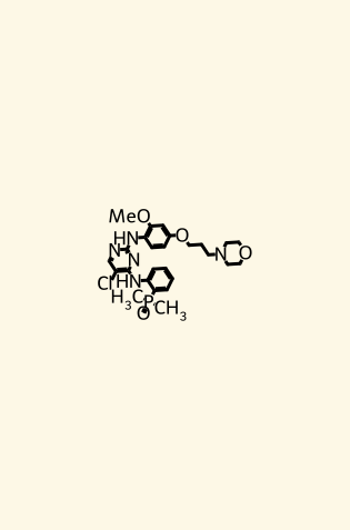 COc1cc(OCCCN2CCOCC2)ccc1Nc1ncc(Cl)c(Nc2ccccc2P(C)(C)=O)n1